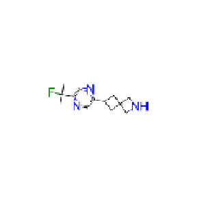 CC(C)(F)c1cnc(C2CC3(CNC3)C2)cn1